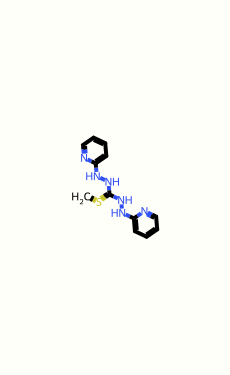 C=S=C(NNc1ccccn1)NNc1ccccn1